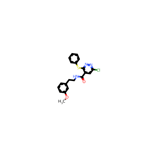 COc1cccc(CCNC(=O)c2cc(Cl)nnc2Sc2ccccc2)c1